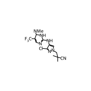 CNC1NC(Nc2cn(CC(C)(C)C#N)nc2Cl)=NC=C1C(F)(F)F